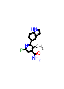 Cc1c(C(N)=O)cc(F)nc1-c1ccc2[nH]ccc2c1